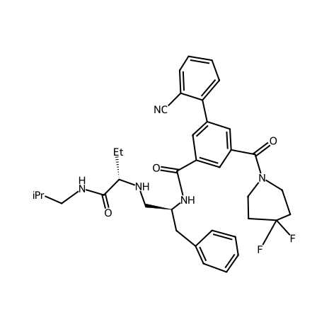 CC[C@H](NC[C@H](Cc1ccccc1)NC(=O)c1cc(C(=O)N2CCC(F)(F)CC2)cc(-c2ccccc2C#N)c1)C(=O)NCC(C)C